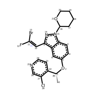 C[C@@H](Oc1ccc2c(c1)c(/C=C(/F)Br)nn2C1CCCCO1)c1ccncc1Cl